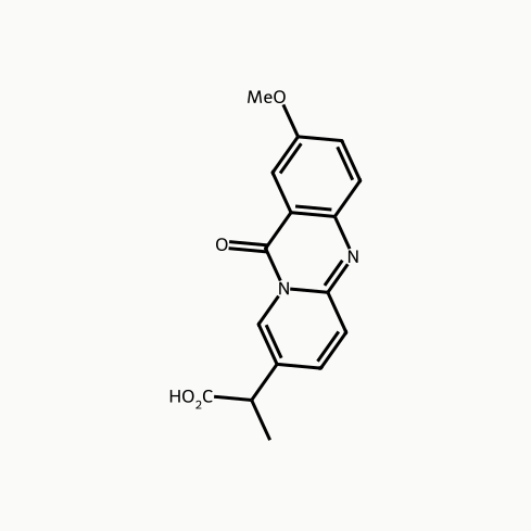 COc1ccc2nc3ccc(C(C)C(=O)O)cn3c(=O)c2c1